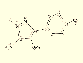 COc1c(-c2ccc(C#N)cc2)nn(C)c1N